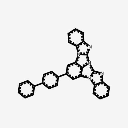 c1ccc(-c2ccc(-c3cc4c5c(c3)n3c6ccccc6nc3n5c3nc5ccccc5n43)cc2)cc1